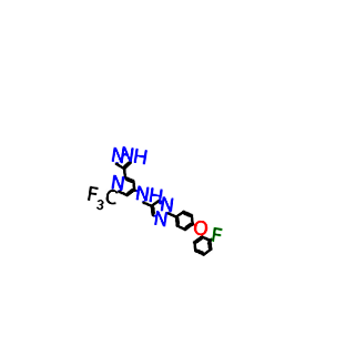 Fc1ccccc1Oc1ccc(-c2ncc(CNc3cc(-c4cn[nH]c4)nc(C(F)(F)F)c3)cn2)cc1